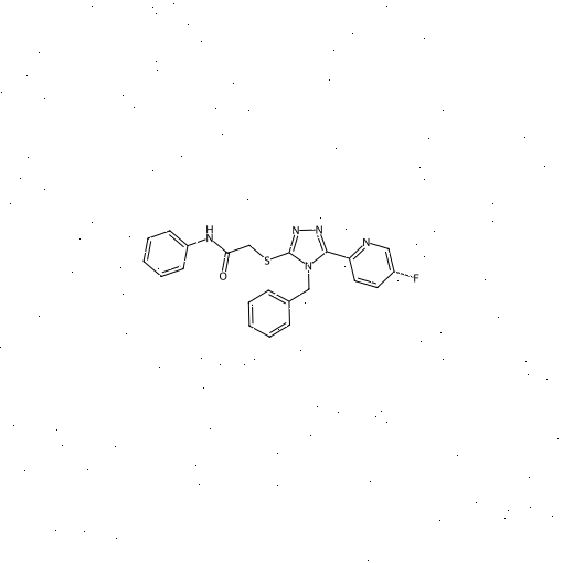 O=C(CSc1nnc(-c2ccc(F)cn2)n1Cc1ccccc1)Nc1ccccc1